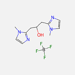 Cn1ccnc1CC(O)Cc1nccn1C.F[B-](F)(F)F